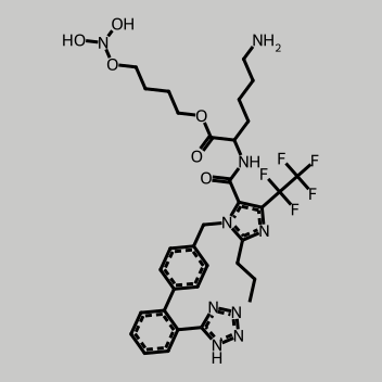 CCCc1nc(C(F)(F)C(F)(F)F)c(C(=O)NC(CCCCN)C(=O)OCCCCON(O)O)n1Cc1ccc(-c2ccccc2-c2nnn[nH]2)cc1